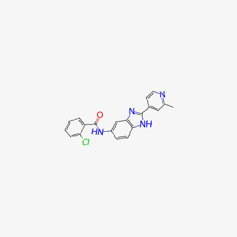 Cc1cc(-c2nc3cc(NC(=O)c4ccccc4Cl)ccc3[nH]2)ccn1